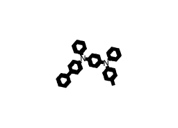 Cc1ccc(N(c2ccccc2)c2ccc(N(c3ccccc3)c3ccc(-c4ccccc4)cc3)cc2)cc1